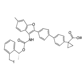 COC(=O)C1(c2ccc(-c3ccc(-c4oc5cc(C)ccc5c4NC(=O)O[C@H](C)c4ccccc4CI)cc3)cc2)CC1